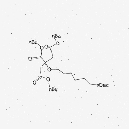 CCCCCCCCCCCCCCCCOC(CC(=O)OCCCC)(CC(=O)OCCCC)C(=O)OCCCC